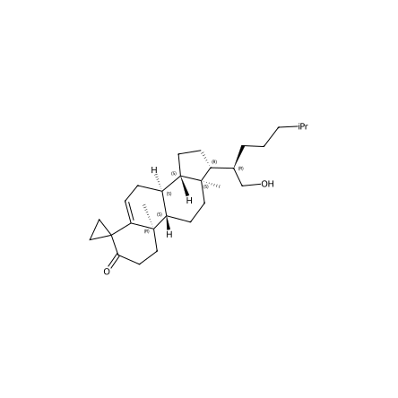 CC(C)CCC[C@@H](CO)[C@H]1CC[C@H]2[C@@H]3CC=C4C5(CC5)C(=O)CC[C@]4(C)[C@H]3CC[C@]12C